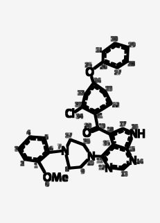 COc1ccccc1N1CCN(c2ncnc3[nH]cc(C(=O)c4ccc(Oc5ccccc5)cc4Cl)c23)CC1